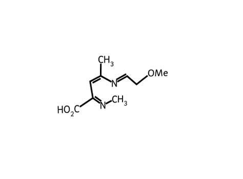 C\N=C(/C=C(C)\N=C\COC)C(=O)O